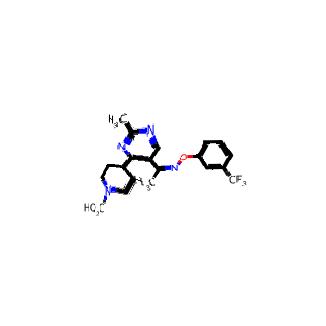 CC(=NOc1cccc(C(F)(F)F)c1)c1cnc(C)nc1C1CCN(C(=O)O)CC1